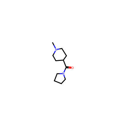 CN1CCC(C(=O)N2CCCC2)CC1